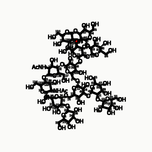 CC(=O)NC1C(O)[C@H](O[C@@H]2OC(CO[C@H]3OC(CO[C@H]4OC(CO)[C@@H](O)[C@H](O)C4O[C@H]4OC(CO)[C@@H](O)[C@H](O)C4O)[C@@H](O)[C@H](O[C@H]4OC(CO)[C@@H](O)C(O)C4O[C@H]4OC(CO)[C@@H](O)C(O)C4O)C3O)[C@@H](O)[C@H](O[C@H]3OC(CO)[C@@H](O)C(O)C3O[C@H]3OC(CO)[C@@H](O)C(O)C3O[C@H]3OC(CO)[C@@H](O)C(O[C@H]4OC(CO)[C@@H](O)[C@H](O)C4O)C3O)C2O)C(CO)O[C@H]1O[C@@H]1C(CO)O[C@@H](O)C(NC(C)=O)[C@H]1O